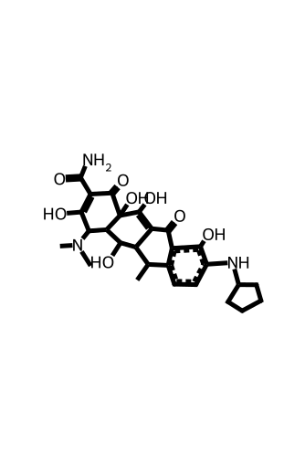 CC1c2ccc(NC3CCCC3)c(O)c2C(=O)C2=C(O)C3(O)C(=O)C(C(N)=O)=C(O)C(N(C)C)C3C(O)C21